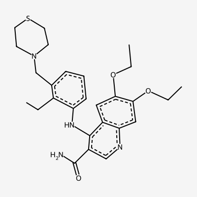 CCOc1cc2ncc(C(N)=O)c(Nc3cccc(CN4CCSCC4)c3CC)c2cc1OCC